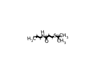 C=CCNC(=O)CCSC(C)C